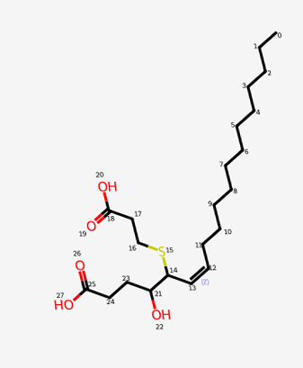 CCCCCCCCCCCC/C=C\C(SCCC(=O)O)C(O)CCC(=O)O